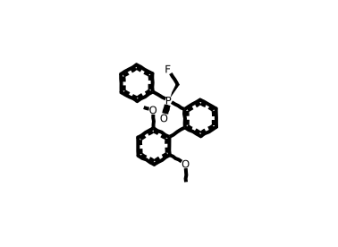 COc1cccc(OC)c1-c1ccccc1[P@@](=O)(CF)c1ccccc1